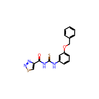 O=C(NC(=S)Nc1cccc(OCc2ccccc2)c1)c1csnn1